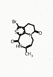 CC1=CCN2C(=O)CCc3c(Br)sc(c32)C(=O)N1